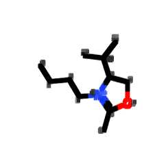 CCCC[N+]1=C(C)OCC1C(C)C